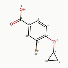 O=C(O)c1ccc(OC2CC2)c(Br)c1